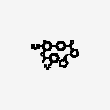 CC(Oc1cc(-c2ccc(C(=O)N3CCC[C@@H]3CN3CCCC3)cc2)cnc1N)c1ccccc1C(F)(F)F